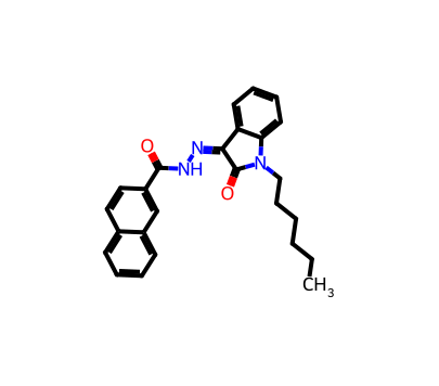 CCCCCCN1C(=O)/C(=N\NC(=O)c2ccc3ccccc3c2)c2ccccc21